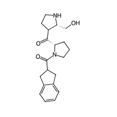 O=C(C1CCN[C@@H]1CO)[C@@H]1CCCN1C(=O)C1Cc2ccccc2C1